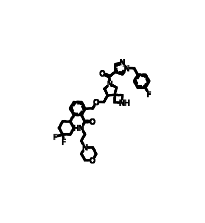 O=C(NCCN1CCOCC1)c1c(COCC2CN(C(=O)c3cnn(Cc4ccc(F)cc4)c3)CC23CNC3)cccc1C1CCC(F)(F)CC1